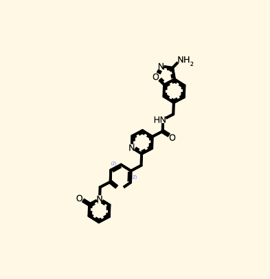 C=C(/C=C\C(=C/C)Cc1cc(C(=O)NCc2ccc3c(N)noc3c2)ccn1)Cn1ccccc1=O